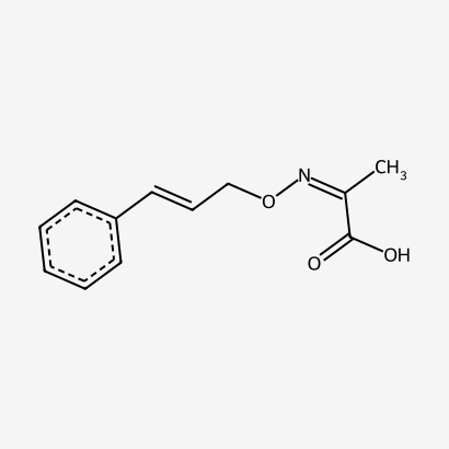 CC(=NOC/C=C/c1ccccc1)C(=O)O